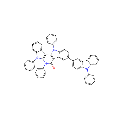 O=c1c2c3cc(-c4ccc5c(c4)c4ccccc4n5-c4ccccc4)ccc3n(-c3ccccc3)c2c2c3ccccc3n(-c3ccccc3)c2n1-c1ccccc1